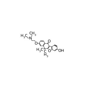 CCN(CC)CCOc1ccc2c(c1)C(C)(C)c1oc3cc(O)c#cc3c1C2=O